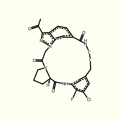 CC(=O)c1nn2c3cc(ccc13)C(=O)NCCCc1cc(Cl)c(F)c(c1)NC(=O)[C@@H]1CCCN1C(=O)C2